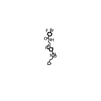 O=C(NCCn1cnc2cc(-c3noc(CCC4CCCC4)n3)ccc21)c1ccc(Br)c(F)c1